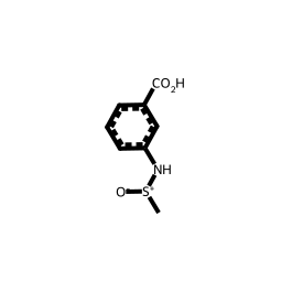 C[S+]([O-])Nc1cccc(C(=O)O)c1